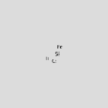 [C].[Fe].[Si].[Ti]